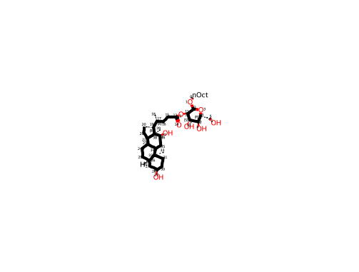 CCCCCCCCOC1O[C@H](CO)[C@@H](O)[C@H](O)[C@H]1OC(=O)CC[C@@H](C)[C@H]1CCC2C3CC[C@@H]4C[C@H](O)CC[C@]4(C)C3C[C@H](O)[C@@]21C